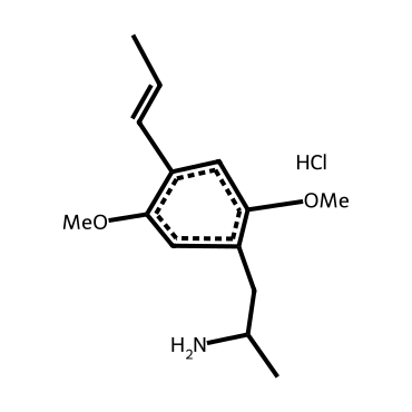 CC=Cc1cc(OC)c(CC(C)N)cc1OC.Cl